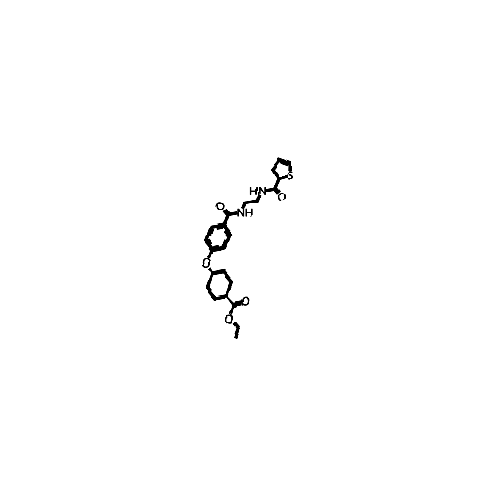 CCOC(=O)[C@H]1CC[C@@H](Oc2ccc(C(=O)NCCNC(=O)C3CC=CS3)cc2)CC1